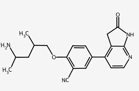 CC(N)CC(C)COc1ccc(-c2ccnc3c2CC(=O)N3)cc1C#N